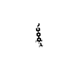 CCC[Si@H]1CC[C@H](c2ccc(-c3cc(F)c(OCC(F)F)c(F)c3)cc2)CC1